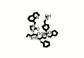 CC[C@H](C)[C@@H](C(=O)N[C@@H](Cc1ccccc1)[C@@H](O)CN(CC1CCCC1)S(=O)(=O)c1ccc(C=NO)cc1)N1CCN(Cc2cccc3cccnc23)C1=O